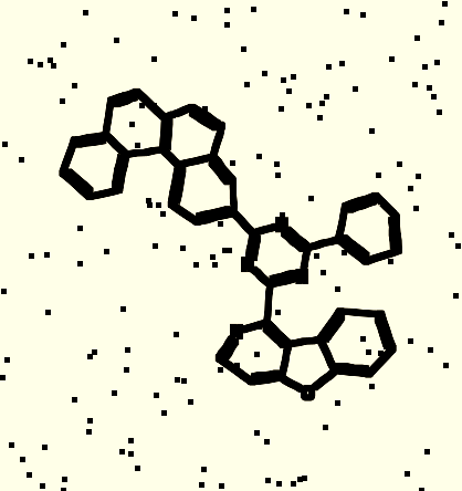 c1ccc(-c2nc(-c3ccc4c(ccc5ccc6ccccc6c54)c3)nc(-c3nccc4oc5ccccc5c34)n2)cc1